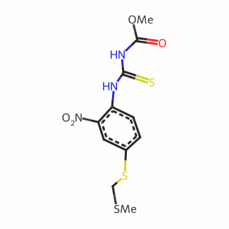 COC(=O)NC(=S)Nc1ccc(SCSC)cc1[N+](=O)[O-]